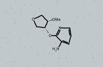 CO[C@H]1COC[C@H]1Oc1ncccc1N